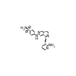 Nc1ncccc1C#Cc1nccc2cnc(Nc3ccc(S(N)(=O)=O)cc3)cc12